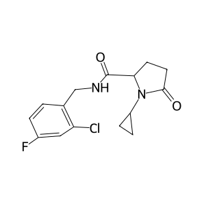 O=C(NCc1ccc(F)cc1Cl)C1CCC(=O)N1C1CC1